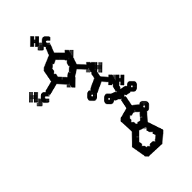 Cc1cc(C)nc(NC(=O)NS(=O)(=O)c2cc3ccccc3o2)n1